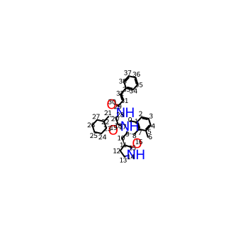 Cc1cccc(C)c1C[C@H](C[C@@H]1CCNC1=O)NC(=O)[C@H](CC1CCCCC1)NC(=O)C=Cc1ccccc1